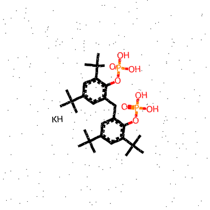 CC(C)(C)c1cc(Cc2cc(C(C)(C)C)cc(C(C)(C)C)c2OP(=O)(O)O)c(OP(=O)(O)O)c(C(C)(C)C)c1.[KH]